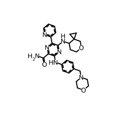 NC(=O)c1nc(-c2ccccn2)c(NC2CCOCC23CC3)nc1Nc1ccc(CN2CCOCC2)cc1